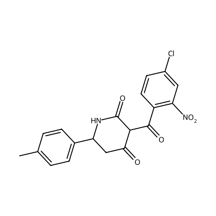 Cc1ccc(C2CC(=O)C(C(=O)c3ccc(Cl)cc3[N+](=O)[O-])C(=O)N2)cc1